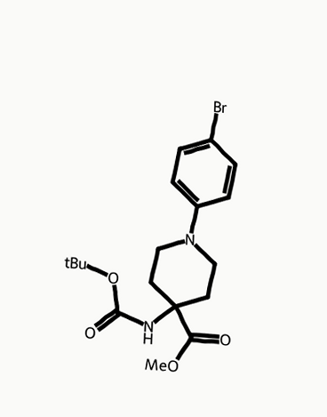 COC(=O)C1(NC(=O)OC(C)(C)C)CCN(c2ccc(Br)cc2)CC1